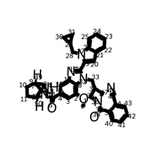 COc1cc(C(=O)N2C[C@H]3CC[C@@H]2[C@@H]3N)cc2nc(-c3cc4ccccc4n3CC3CC3)n(CC3CN(C(=O)c4ccccc4C#N)C3)c12